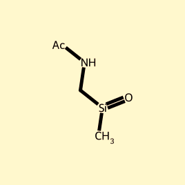 CC(=O)NC[Si](C)=O